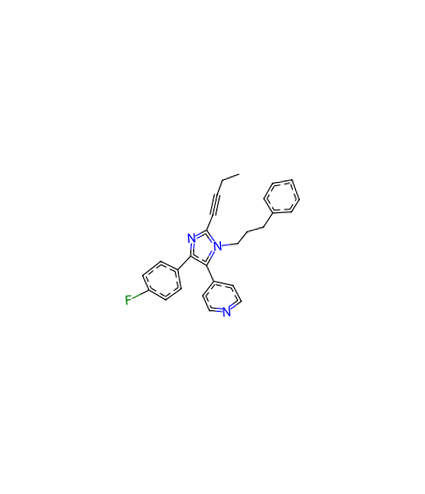 CCC#Cc1nc(-c2ccc(F)cc2)c(-c2ccncc2)n1CCCc1ccccc1